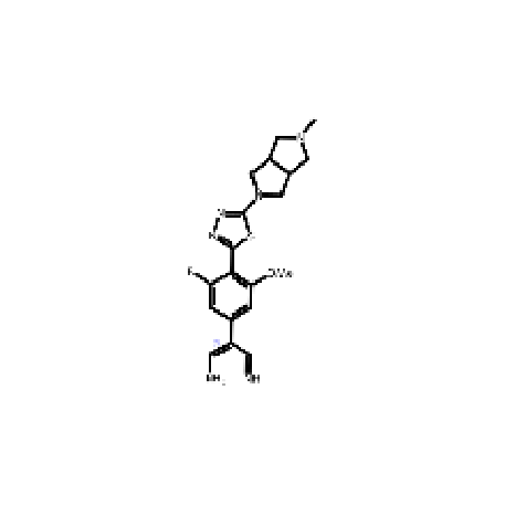 COc1cc(/C(C=N)=C/N)cc(F)c1-c1nnc(N2CC3CN(C)CC3C2)s1